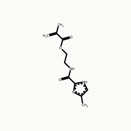 C=C(C)C(=O)OCCNC(=O)c1nc(C)c[nH]1